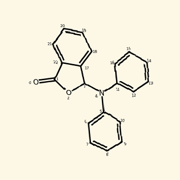 O=C1OC(N(c2ccccc2)c2ccccc2)c2ccccc21